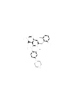 COc1cc(N2CCNCC2)ccc1Nc1nc(Cc2c(Cl)cccc2Cl)cc2nc[nH]c(=O)c12